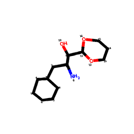 NC(CC1CCCCC1)C(O)C1OCCCO1